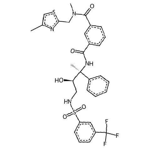 Cc1csc(CN(C)C(=O)c2cccc(C(=O)N[C@@](C)(c3ccccc3)[C@H](O)CNS(=O)(=O)c3cccc(C(F)(F)F)c3)c2)n1